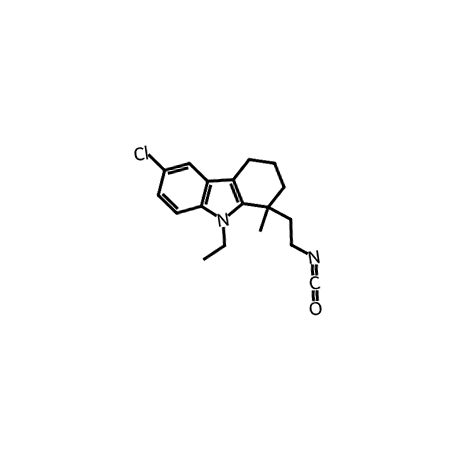 CCn1c2c(c3cc(Cl)ccc31)CCCC2(C)CCN=C=O